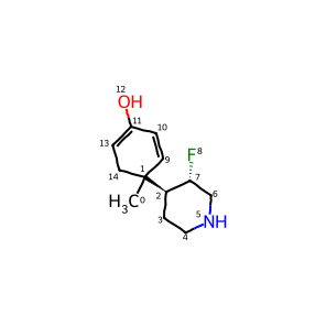 CC1([C@@H]2CCNC[C@H]2F)C=CC(O)=CC1